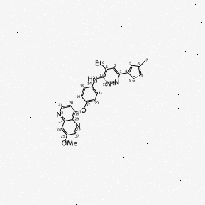 CCc1cc(-c2cc(C)cs2)nnc1Nc1ccc(Oc2ccnc3cc(OC)cnc23)cc1